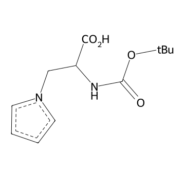 CC(C)(C)OC(=O)NC(Cn1cccc1)C(=O)O